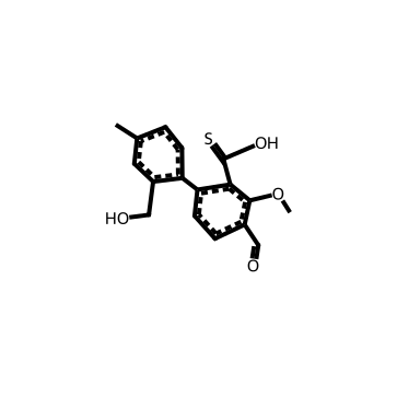 COc1c(C=O)ccc(-c2ccc(C)cc2CO)c1C(O)=S